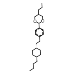 CCCC[C@H]1CC[C@H](CCc2ccc(C3OCC(CCC)CO3)cc2)CC1